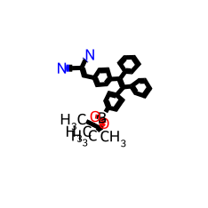 CC1(C)OB(c2ccc(C(=C(c3ccccc3)c3ccc(C=C(C#N)C#N)cc3)c3ccccc3)cc2)OC1(C)C